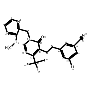 COc1nccnc1Cn1cnc(C(F)(F)I)c(CCc2cc(Cl)cc(C#N)c2)c1=O